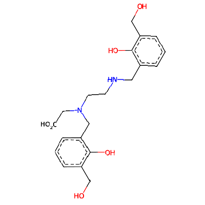 O=C(O)CN(CCNCc1cccc(CO)c1O)Cc1cccc(CO)c1O